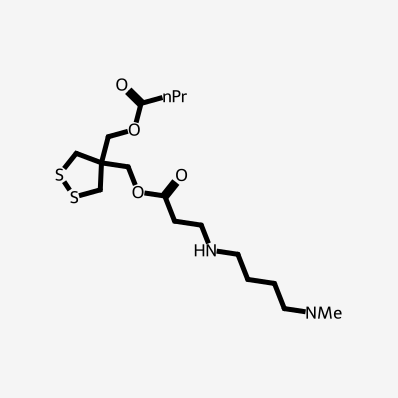 CCCC(=O)OCC1(COC(=O)CCNCCCCNC)CSSC1